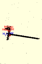 CC#CC#CC#CC#CC#CC#CC#CC#CC#CC#CC#CC#CC(=O)N[C@@H](CO[C@H]1OC(CO)[C@H](O)[C@H](O)C1O)[C@H](N)CCCCCC